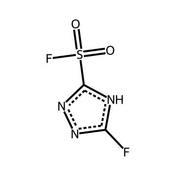 O=S(=O)(F)c1nnc(F)[nH]1